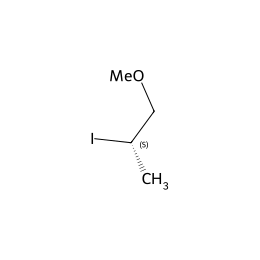 COC[C@H](C)I